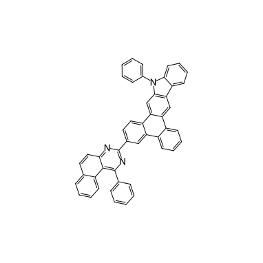 c1ccc(-c2nc(-c3ccc4c(c3)c3ccccc3c3cc5c6ccccc6n(-c6ccccc6)c5cc43)nc3ccc4ccccc4c23)cc1